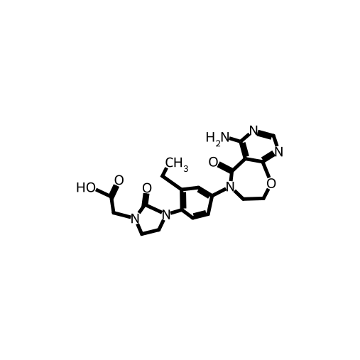 CCc1cc(N2CCOc3ncnc(N)c3C2=O)ccc1N1CCN(CC(=O)O)C1=O